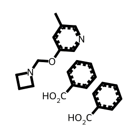 Cc1cncc(OCN2CCC2)c1.O=C(O)c1ccccc1.O=C(O)c1ccccc1